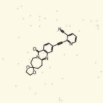 N#Cc1cccnc1C#Cc1ccc2c(=O)n3c(nc2c1)CCC1(CC3)OCCO1